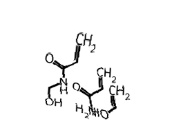 C=CC(=O)NCO.C=CC(N)=O.C=CO